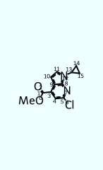 COC(=O)c1cc(Cl)nc2c1ccn2C1CC1